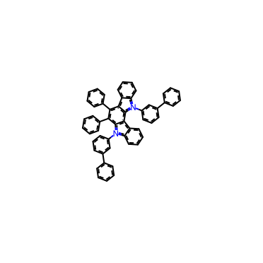 c1ccc(-c2cccc(-n3c4ccccc4c4c3c(-c3ccccc3)c(-c3ccccc3)c3c5ccccc5n(-c5cccc(-c6ccccc6)c5)c34)c2)cc1